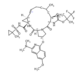 COc1ccc2c(O[C@@H]3C[C@H]4C(=O)N[C@]5(C(=O)NS(=O)(=O)C6(C)CC6)C[C@H]5/C=C\CCC(C)C[C@@H](C)[C@H](NC(=O)OC(C)(C)C(F)(F)F)C(=O)N4C3)nc(N(C)C)cc2c1